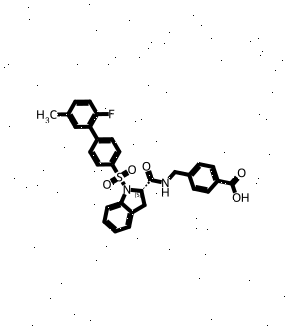 Cc1ccc(F)c(-c2ccc(S(=O)(=O)N3c4ccccc4C[C@H]3C(=O)NCc3ccc(C(=O)O)cc3)cc2)c1